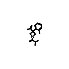 C=C(C(C)C)N1CC(C(=C)C)(c2ccccc2C)C1